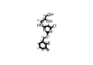 C[C@@H](Nc1cc(Cl)nc(SCc2cccc(F)c2F)n1)C(O)CO